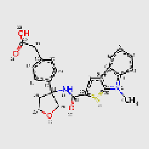 Cn1c2ccccc2c2cc(C(=O)NC3(c4ccc(CC(=O)O)cc4)CCOC3)sc21